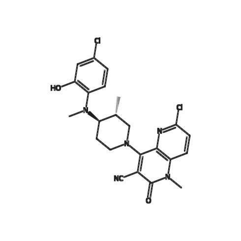 C[C@@H]1CN(c2c(C#N)c(=O)n(C)c3ccc(Cl)nc23)CC[C@H]1N(C)c1ccc(Cl)cc1O